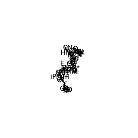 CC(C)[C@H](NC(=O)CCCCCN1C(=O)CCC1=O)C(=O)N[C@@H](C)C(=O)Nc1ccc(C[N+]2(Cc3cc4c(c(C(F)(F)F)c3)CN(c3cc(C5(Cc6nncn6C)COC5)cc(NCCC#N)n3)C4=O)CCC[C@H](C)C2)cc1